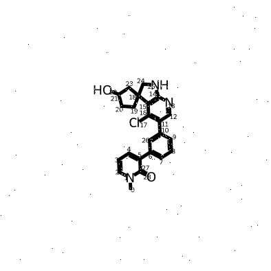 Cn1cccc(-c2cccc(-c3cnc4c(c3Cl)C3(CCC(O)C3)CN4)c2)c1=O